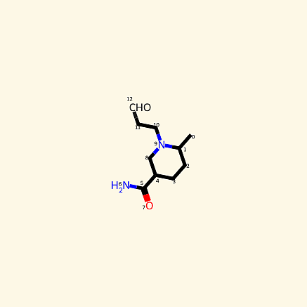 CC1CCC(C(N)=O)CN1CCC=O